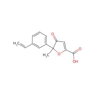 C=Cc1cccc(C2(C)OC(C(=O)O)=CC2=O)c1